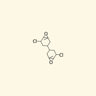 CC12CC(C3CC(Cl)C4OC4(C)C3)CC(Cl)C1O2